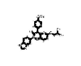 COc1ccc(-c2c(=O)n(-c3ccc4c(c3)SCN4)nc3ccc(OCC(F)F)nc23)cc1